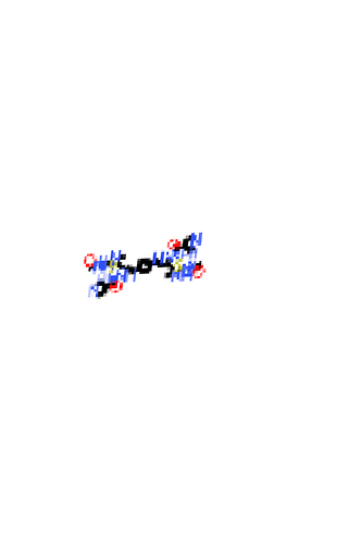 CC(=O)N/N=C1N=C(C)/C(=C(\C=C\c2ccc(/C=C/C(NNC(=O)c3ccncc3)=C3/S/C(=N\NC(C)=O)NC3C)cc2)NNC(=O)c2ccncc2)S/1